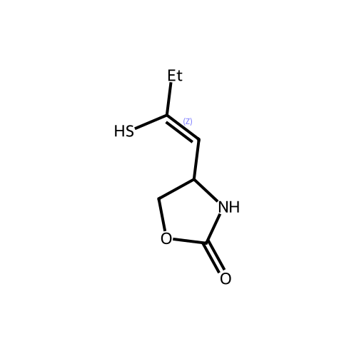 CC/C(S)=C/C1COC(=O)N1